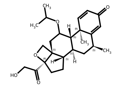 CC(C)OC1C[C@]23CO[C@]2(C(=O)CO)CC[C@H]3[C@@H]2C[C@H](C)C3=CC(=O)C=C[C@]3(C)[C@@H]12